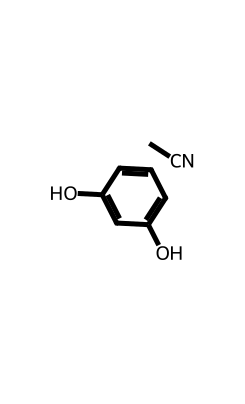 CC#N.Oc1cccc(O)c1